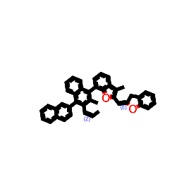 C/C=C\c1c(C)c(-c2cccc3c(C)c(/C=C4\Cc5ccccc5O4)oc23)c2ccccc2c1-c1ccc2ccccc2c1